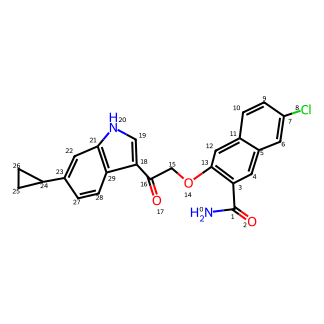 NC(=O)c1cc2cc(Cl)ccc2cc1OCC(=O)c1c[nH]c2cc(C3CC3)ccc12